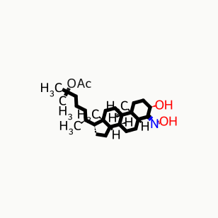 CC(=O)OC(C)(C)CCC[C@@H](C)[C@H]1CC[C@H]2[C@@H]3CC[C@H]4/C(=N/O)[C@@H](O)CC[C@]4(C)[C@H]3CC[C@]12C